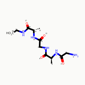 C[C@H](NC(=O)CN)C(=O)NCC(=O)N[C@@H](C)C(=O)NCC(=O)O